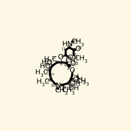 CC[C@H]1OC(=O)[C@H](C)[C@@H](O[C@H]2CC(NC)C(=O)[C@@H](C)O2)[C@H](C)[C@@H](O)[C@](C)(O)C[C@@H](C)CN(C)[C@H](C)[C@@H](O)[C@]1(C)O